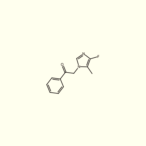 Cc1c(F)ncn1CC(=O)c1ccccc1